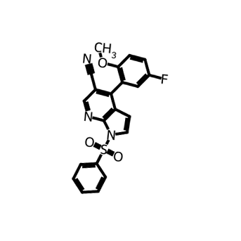 COc1ccc(F)cc1-c1c(C#N)cnc2c1ccn2S(=O)(=O)c1ccccc1